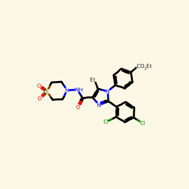 CCOC(=O)c1ccc(-n2c(-c3ccc(Cl)cc3Cl)nc(C(=O)NN3CCS(=O)(=O)CC3)c2CC)cc1